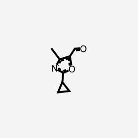 Cc1nc(C2CC2)oc1C=O